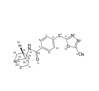 N#Cc1nnc(Sc2ccc(C(=O)N[C@H]3CN4CCC3CC4)cc2)o1